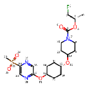 C[C@@H](CF)OC(=O)N1CCC(O[C@H]2CC[C@H](Oc3cnc(S(C)(=O)=O)cn3)CC2)CC1